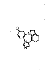 O=C1C=CC2=C(C1)n1ccc3c1=C(CCC=3)c1cncn12